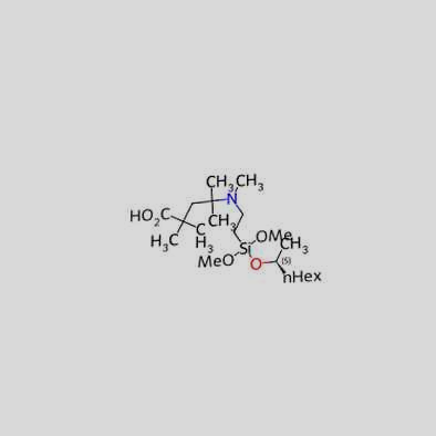 CCCCCC[C@H](C)O[Si](CCN(C)C(C)(C)CC(C)(C)C(=O)O)(OC)OC